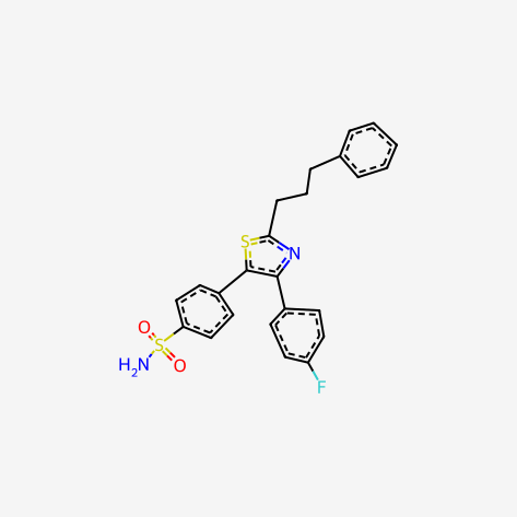 NS(=O)(=O)c1ccc(-c2sc(CCCc3ccccc3)nc2-c2ccc(F)cc2)cc1